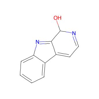 OC1N=CC=C2C1=Nc1ccccc12